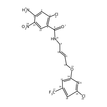 Nc1cc(Cl)c(C(=O)NCC=CCOc2cc(C(F)(F)F)cc(Cl)n2)cc1[N+](=O)[O-]